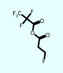 O=C(CCF)OC(=O)C(F)(F)C(F)(F)F